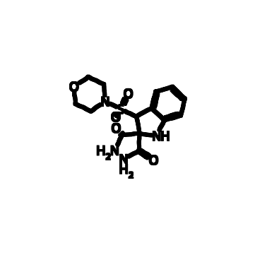 NC(=O)C1(C(N)=O)Nc2ccccc2C1S(=O)(=O)N1CCOCC1